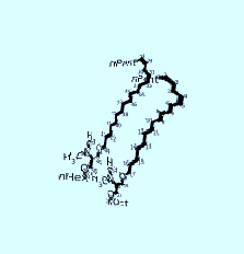 CCCCC/C=C\C/C=C\CCCCCCCCCCCCOCC(COCCCCCCCC)N(C)C.CCCCC/C=C\C/C=C\CCCCCCCCCCCCOC[C@H](COCCCCCC)N(C)C